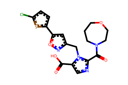 O=C(O)c1cnc(C(=O)N2CCCOCC2)n1Cc1cc(-c2ccc(Cl)s2)on1